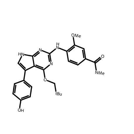 CNC(=O)c1ccc(Nc2nc(OCC(C)(C)C)c3c(-c4ccc(O)cc4)c[nH]c3n2)c(OC)c1